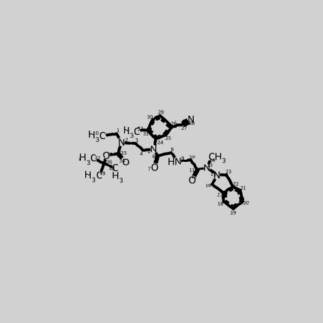 CCN(CCN(C(=O)CNCC(=O)N(C)N1Cc2ccccc2C1)c1cc(C#N)ccc1C)C(=O)OC(C)(C)C